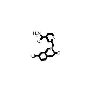 NC(=O)c1ccnc(Cn2cc3cc(Cl)ccc3cc2=O)c1